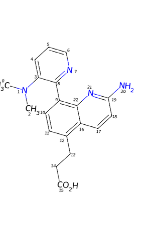 CN(C)c1cccnc1-c1ccc(CCC(=O)O)c2ccc(N)nc12